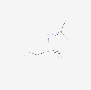 Cc1nc(CN)cs1.Cl.Cl